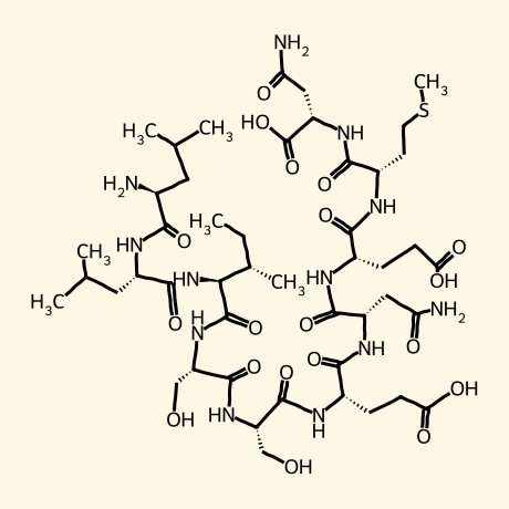 CC[C@H](C)[C@H](NC(=O)[C@H](CC(C)C)NC(=O)[C@@H](N)CC(C)C)C(=O)N[C@@H](CO)C(=O)N[C@@H](CO)C(=O)N[C@@H](CCC(=O)O)C(=O)N[C@@H](CC(N)=O)C(=O)N[C@@H](CCC(=O)O)C(=O)N[C@@H](CCSC)C(=O)N[C@@H](CC(N)=O)C(=O)O